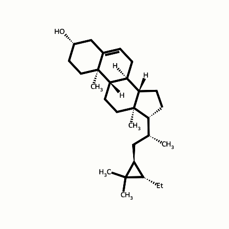 CC[C@H]1[C@H](C[C@@H](C)[C@H]2CC[C@H]3[C@@H]4CC=C5C[C@@H](O)CC[C@]5(C)[C@H]4CC[C@]23C)C1(C)C